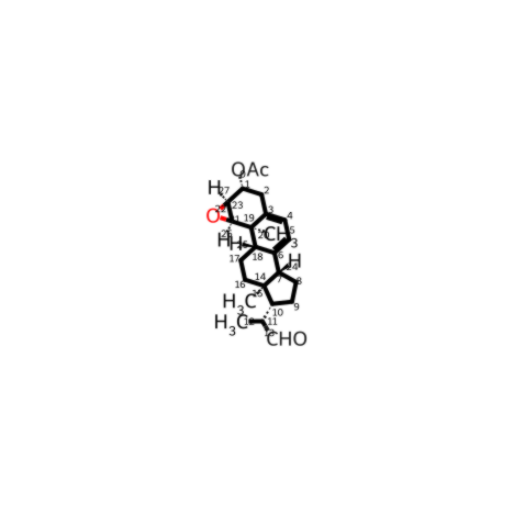 CC(=O)O[C@@H]1CC2=CC=C3[C@@H]4CC[C@H](C(C)C=O)[C@@]4(C)CC[C@@H]3[C@@]2(C)[C@H]2O[C@@H]12